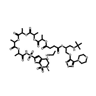 CCN[C@@H]1C[C@@H](C)S(=O)(=O)c2sc(S(=O)(=O)NC(=O)C(C)OC(=O)C(C)OC(=O)C(C)OC(=O)C(C)OC(=O)C(C)OC(=O)CCC(=O)OC(CNC(C)(C)C)COc3nsnc3N3CCOCC3)cc21